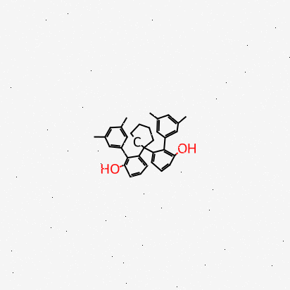 Cc1cc(C)cc(-c2c(O)cccc2C2(c3cccc(O)c3-c3cc(C)cc(C)c3)CCCCC2)c1